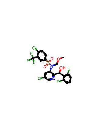 COCN(c1cc(Cl)cnc1C(O)c1c(F)cccc1Cl)S(=O)(=O)c1ccc(Cl)c(C(F)(F)F)c1